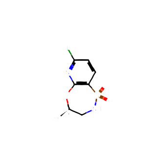 CC[C@@H]1CNS(=O)(=O)c2ccc(Cl)nc2O1